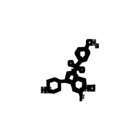 Cc1ccc(S(=O)(=O)n2cc(C3CCNCC3)c3cc(F)ccc32)cc1.Cl